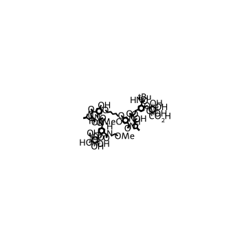 C=C1C[C@H]2C(O)N(C(=O)OCc3ccc(O[C@@H]4O[C@H](CO)[C@H](O)[C@H](O)[C@H]4O)c(C(=O)NCCOC)c3)c3cc(OCCCCCOc4cc5c(cc4OC)C(=O)N4CC(=C)C[C@H]4C(O)N5C(=O)OCc4ccc(O[C@@H]5O[C@H](C(=O)O)[C@@H](O)[C@H](O)[C@H]5O)c(C(=O)NC(C)(C)C)c4)c(O)cc3C(=O)N2C1